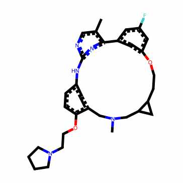 Cc1cnc2nc1-c1cc(F)cc(c1)OCCC1CC1CN(C)Cc1cc(ccc1OCCN1CCCC1)N2